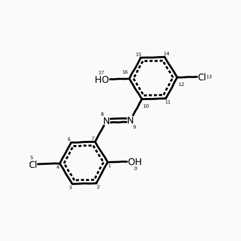 Oc1ccc(Cl)cc1N=Nc1cc(Cl)ccc1O